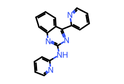 c1ccc(Nc2nc(-c3ccccn3)c3ccccc3n2)nc1